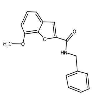 COc1cccc2cc(C(=O)NCc3ccccc3)oc12